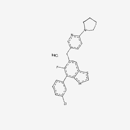 Cl.Fc1c(Cc2ccc(N3CCCC3)nc2)cc2scnc2c1-c1cccc(Cl)c1